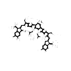 [C-]#[N+]C([N+]#[C-])=C1/C(=C/c2sc3c(sc4c5c6nsnc6c6c7sc8c(CCCCCCCCCCC)c(/C=C9\C(=O)c%10cc(Cl)c(Cl)cc%10C9=C(C#N)C#N)sc8c7n(CC(CCCC)CCCCCC)c6c5n(CC(CCCC)CCCCCC)c34)c2CCCCCCCCCCC)C(=O)c2cc(Cl)c(Cl)cc21